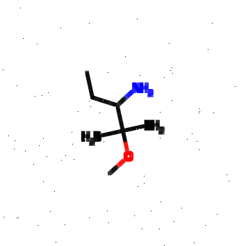 BC(B)(OC)C(N)CC